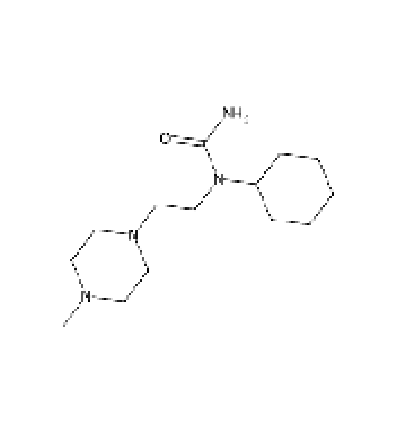 CN1CCN(CCN(C(N)=O)C2CCCCC2)CC1